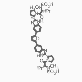 CC(C)[C@@H](C(=O)N1CCC[C@H]1c1nc2cc(-c3ccc(-c4ccc5[nH]c([C@@H]6CCCN6C(=O)[C@H](C(C)C)N(C)C(=O)O)nc5c4)o3)ccc2[nH]1)N(C)C(=O)O